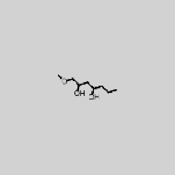 CCCC(O)CC(O)COC